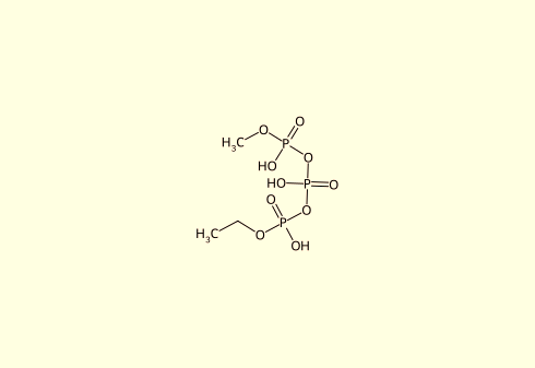 CCOP(=O)(O)OP(=O)(O)OP(=O)(O)OC